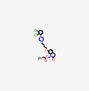 CC(C)CC(=O)OCN1C(=O)CCc2ccc(OCCCCN3CCN(c4cccc(Cl)c4Cl)CC3)cc21